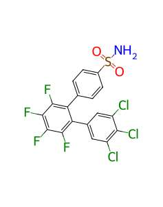 NS(=O)(=O)c1ccc(-c2c(F)c(F)c(F)c(F)c2-c2cc(Cl)c(Cl)c(Cl)c2)cc1